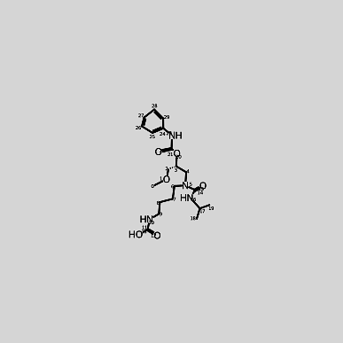 COC[C@@H](CN(CCCCNC(=O)O)C(=O)NC(C)C)OC(=O)Nc1ccccc1